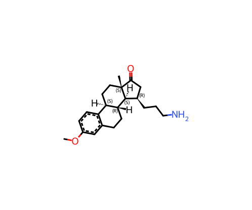 COc1ccc2c(c1)CC[C@H]1[C@@H]3[C@H](CCCN)CC(=O)[C@@]3(C)CC[C@H]21